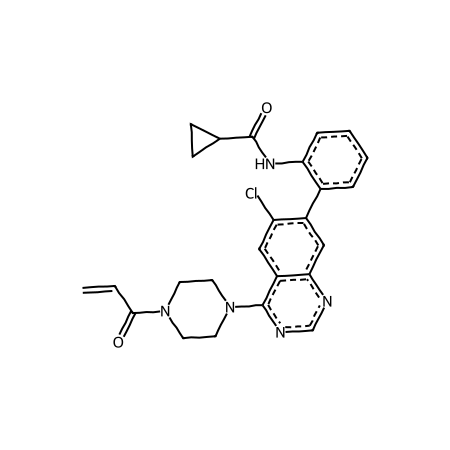 C=CC(=O)N1CCN(c2ncnc3cc(-c4ccccc4NC(=O)C4CC4)c(Cl)cc23)CC1